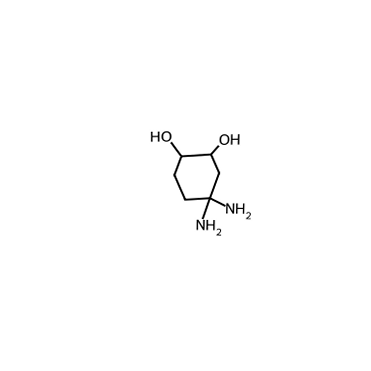 NC1(N)CCC(O)C(O)C1